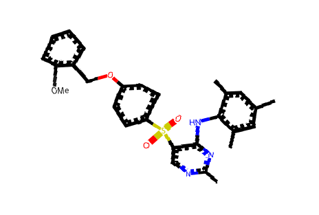 COc1ccccc1COc1ccc(S(=O)(=O)c2cnc(C)nc2Nc2c(C)cc(C)cc2C)cc1